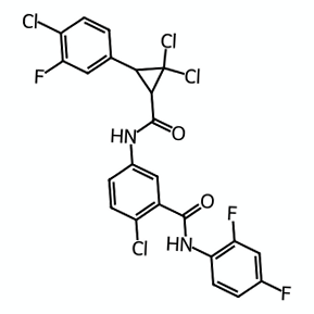 O=C(Nc1ccc(F)cc1F)c1cc(NC(=O)C2C(c3ccc(Cl)c(F)c3)C2(Cl)Cl)ccc1Cl